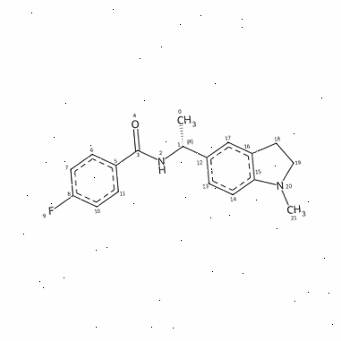 C[C@@H](NC(=O)c1ccc(F)cc1)c1ccc2c(c1)CCN2C